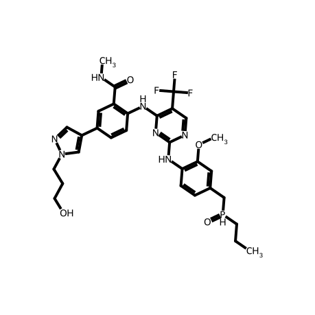 CCC[PH](=O)Cc1ccc(Nc2ncc(C(F)(F)F)c(Nc3ccc(-c4cnn(CCCO)c4)cc3C(=O)NC)n2)c(OC)c1